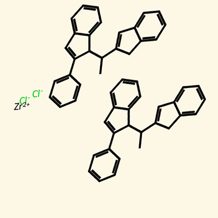 CC(C1=Cc2ccccc2C1)C1C(c2ccccc2)=Cc2ccccc21.CC(C1=Cc2ccccc2C1)C1C(c2ccccc2)=Cc2ccccc21.[Cl-].[Cl-].[Zr+2]